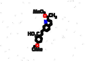 COCO[C@H](C)c1ccc2ccc(/C=C/[C@]3(C(=O)O)CC[C@H](OCOC)CC3)cc2n1